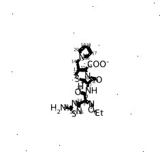 CCON=C(C(=O)NC1C(=O)N2C(C(=O)[O-])=C(C[n+]3ccccc3)CS[C@@H]12)c1nsc(N)n1